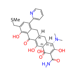 CSCc1cc(-c2ccccn2)c2c(c1O)C(=O)C1=C(O)[C@]3(O)C(=O)C(C(N)=O)=C(O)[C@@H](N(C)C)[C@@H]3C[C@@H]1C2